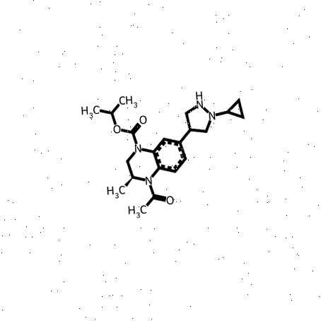 CC(=O)N1c2ccc(C3CNN(C4CC4)C3)cc2N(C(=O)OC(C)C)C[C@@H]1C